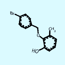 Cc1cccc(O)c1OCc1ccc(Br)cc1